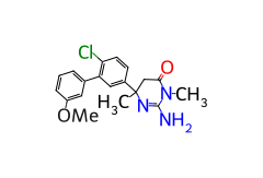 COc1cccc(-c2cc(C3(C)CC(=O)N(C)C(N)=N3)ccc2Cl)c1